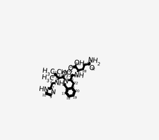 CC(C)(C)[C@H](NCc1ncc[nH]1)C(=O)N1Cc2ccccc2CC1C(=O)NC(CCC(N)=O)C(=O)O